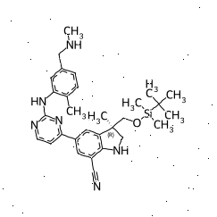 CNCc1ccc(C)c(Nc2nccc(-c3cc(C#N)c4c(c3)[C@@](C)(CO[Si](C)(C)C(C)(C)C)CN4)n2)c1